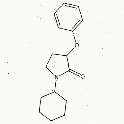 O=C1C(Oc2ccccc2)CCN1C1CCCCC1